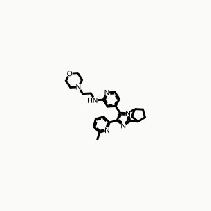 Cc1cccc(-c2nc3n(c2-c2ccnc(NCCN4CCOCC4)c2)C2CCC3C2)n1